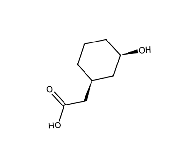 O=C(O)C[C@H]1CCC[C@@H](O)C1